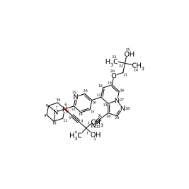 CC(C)(O)C#CCN1C2CC1CN(c1ccc(-c3cc(OCC(C)(C)O)cn4ncc(C#N)c34)cn1)C2